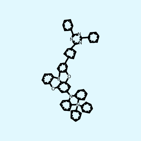 c1ccc(-c2nc(-c3ccccc3)nc(-c3ccc(-c4ccc5c(c4)Oc4cc(N6c7ccccc7[Si](c7ccccc7)(c7ccccc7)c7ccccc76)cc6c4B5c4ccccc4O6)cc3)n2)cc1